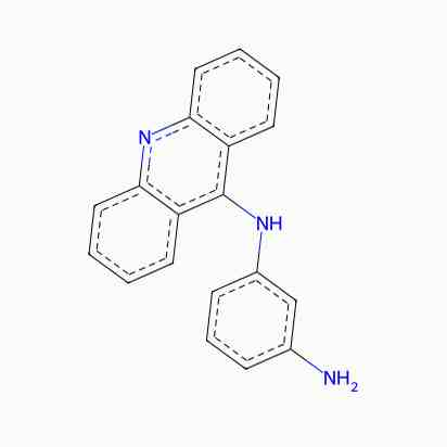 Nc1cccc(Nc2c3ccccc3nc3ccccc23)c1